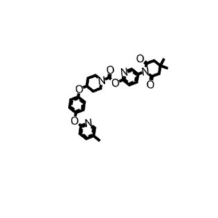 Cc1ccc(Oc2ccc(OC3CCN(C(=O)Oc4ccc(N5C(=O)CC(C)(C)CC5=O)cn4)CC3)cc2)nc1